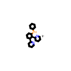 [Ir].c1ccc(Pc2cccc(-c3ccccn3)c2-c2ccccn2)cc1